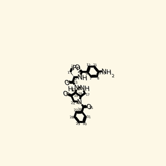 CC(C)C[C@H](NC(=O)c1ccc(N)cc1)C(=O)N1NCC2[C@H]1C(=O)CN2C(=O)c1ccccc1